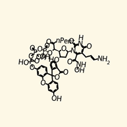 CCCCCC(=O)C(OP(=O)(O)OP(=O)(O)OP(=O)(O)Oc1ccc2c(c1)Oc1cc(O)ccc1C21OC(=O)c2ccccc21)[C@H]1O[C@@H](n2c(C(=O)NO)c(CC=CN)c(=O)[nH]c2=O)C[C@@H]1O